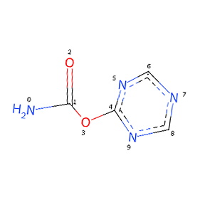 NC(=O)Oc1n[c]ncn1